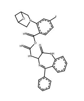 N=C(NC1N=C(c2ccccc2)c2ccccc2NC1=O)OC(=N)c1ccc(F)cc1N1CC2CC(C1)O2